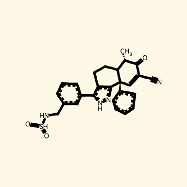 C[C@@H]1C(=O)C(C#N)=C[C@]2(c3ccccc3)c3n[nH]c(-c4cccc(CN[SH](=O)=O)c4)c3CCC12